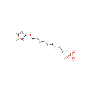 O=S(=O)(O)CCCCCCCCCCOc1ccsc1